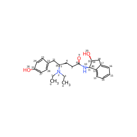 CCN(CC)[C@H](CCC(=O)N[C@@H]1c2ccccc2C[C@@H]1O)Cc1ccc(O)cc1